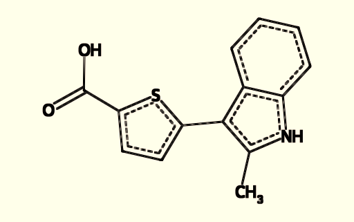 Cc1[nH]c2ccccc2c1-c1ccc(C(=O)O)s1